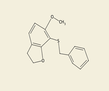 COc1ccc2c(c1SCc1ccccc1)OCC2